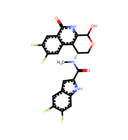 CN(C(=O)c1cc2cc(F)c(F)cc2[nH]1)[C@H]1COC(O)c2[nH]c(=O)c3cc(F)c(F)cc3c21